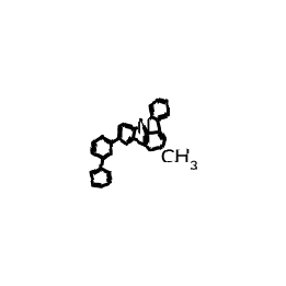 Cc1cc2c3ccccc3n3c4ccc(-c5cccc(-c6ccccc6)c5)cc4c(c1)c23